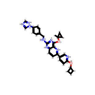 CC1(Oc2nc(NCc3ccc(-n4cncn4)cc3)nc3ccc(-c4ccc(OC5CCC5)nc4)nc23)CC1